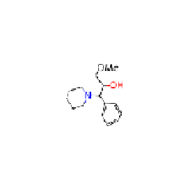 COCC(O)C(c1ccccc1)N1CCCCC1